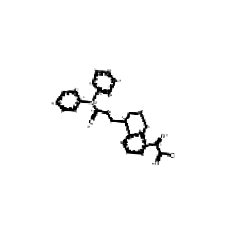 O=C(O)C(=O)c1cccc2c1CCCC2CCC(=O)N(c1ccccc1)c1ccccc1